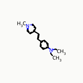 CCN(CC)c1ccc(C=Cc2cc[n+](C)cc2)cc1